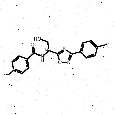 O=C(N[C@@H](CO)c1nc(-c2ccc(Br)cc2)no1)c1ccc(F)cc1